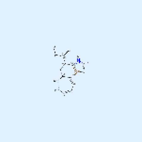 CC[C@@H](C)C(CC1C=CC=CC=C1)c1nccs1